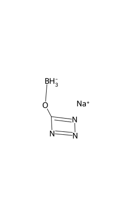 [BH3-]OC1=NN=N1.[Na+]